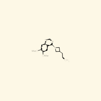 C=CCC1CN(c2ncnc3cc(OC)c(OC)cc23)C1